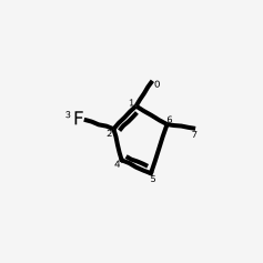 CC1=C(F)C=CC1C